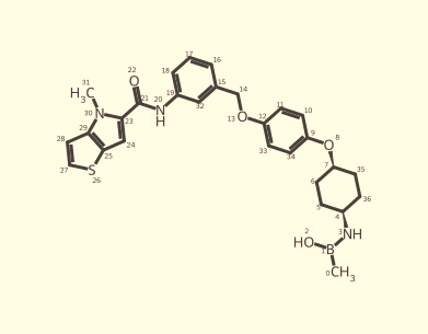 CB(O)N[C@H]1CC[C@@H](Oc2ccc(OCc3cccc(NC(=O)c4cc5sccc5n4C)c3)cc2)CC1